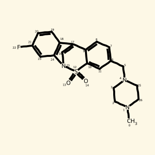 CN1CCN(Cc2ccc3c(c2)S(=O)(=O)n2cc-3c3ccc(F)cc32)CC1